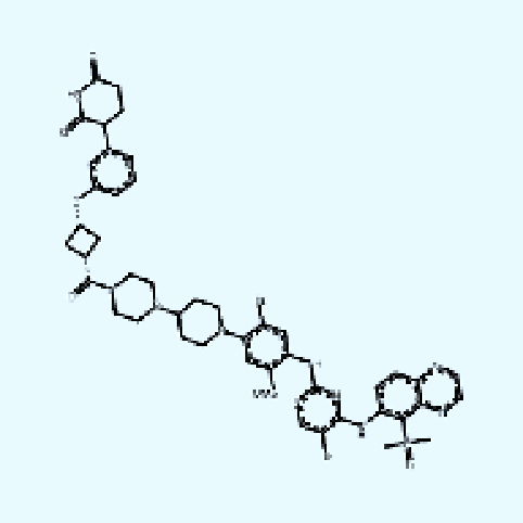 CCc1cc(Nc2ncc(Br)c(Nc3ccc4nccnc4c3P(C)(C)=O)n2)c(OC)cc1N1CCC(N2CCN(C(=O)[C@H]3C[C@@H](Oc4cccc(C5CCC(=O)NC5=O)c4)C3)CC2)CC1